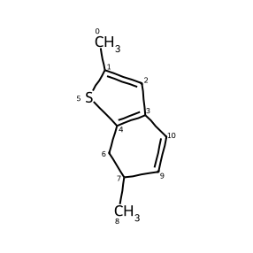 Cc1cc2c(s1)CC(C)C=C2